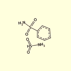 NS(=O)(=O)c1ccccc1.N[SH](=O)=O